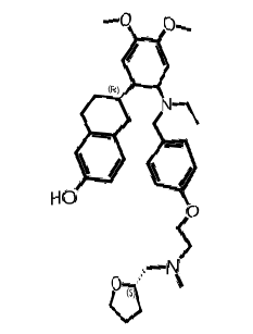 CCN(Cc1ccc(OCCN(C)C[C@@H]2CCCO2)cc1)C1C=C(OC)C(OC)=CC1[C@@H]1CCc2cc(O)ccc2C1